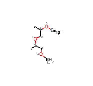 B=BOC(C)COC(C)COB